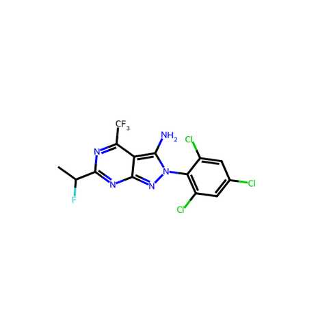 CC(F)c1nc(C(F)(F)F)c2c(N)n(-c3c(Cl)cc(Cl)cc3Cl)nc2n1